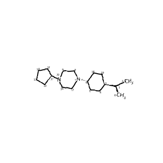 CC(C)[C@H]1CC[C@H](N2CCN(C3CCCC3)CC2)CC1